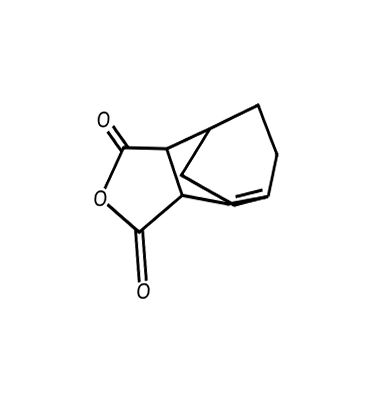 O=C1OC(=O)C2C3CC=C(CC3)CC12